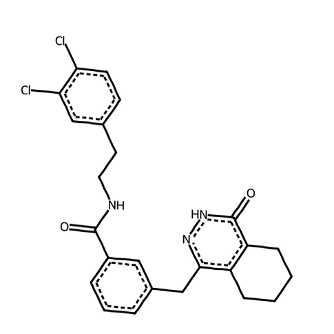 O=C(NCCc1ccc(Cl)c(Cl)c1)c1cccc(Cc2n[nH]c(=O)c3c2CCCC3)c1